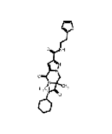 CN1C(=O)c2cc(C(=O)NCCc3cccs3)nn2CC1(C)C(=O)NC1CCCCC1